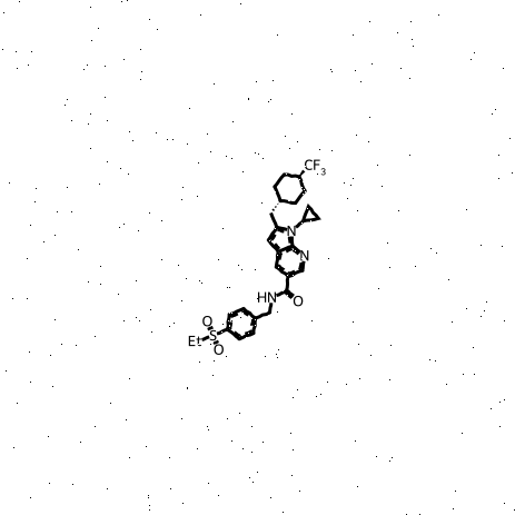 CCS(=O)(=O)c1ccc(CNC(=O)c2cnc3c(c2)cc(C[C@H]2CC[C@H](C(F)(F)F)CC2)n3C2CC2)cc1